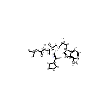 C/C(=N\OP(=O)(CO[C@H](C)Cn1cnc2c(N)ncnc21)N[C@@H](C)C(=O)OC(C)C)C1CCCC1